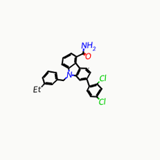 CCc1cccc(Cn2c3cc(-c4ccc(Cl)cc4Cl)c[c]c3c3c(C(N)=O)cccc32)c1